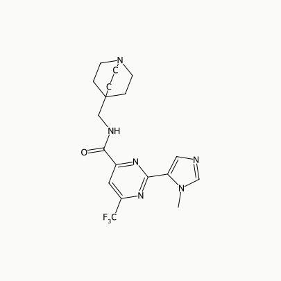 Cn1cncc1-c1nc(C(=O)NCC23CCN(CC2)CC3)cc(C(F)(F)F)n1